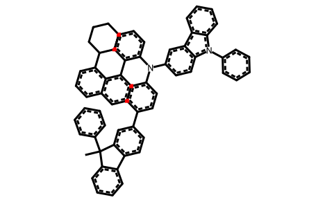 CC1(c2ccccc2)c2ccccc2-c2ccc(-c3ccc(N(c4ccc5c(c4)c4ccccc4n5-c4ccccc4)c4ccccc4-c4cccc5cccc(C6CCCCC6)c45)cc3)cc21